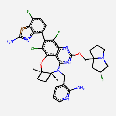 C[C@@]12CC[C@H]1N(Cc1cccnc1N)c1nc(OC[C@@]34CCCN3C[C@H](F)C4)nc3c(F)c(-c4ccc(F)c5sc(N)nc45)c(Cl)c(c13)O2